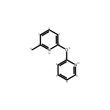 Cc1cccc(Oc2ccccn2)n1